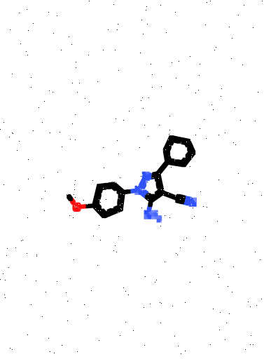 COc1ccc(-n2nc(-c3ccccc3)c(C#N)c2N)cc1